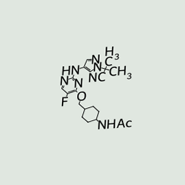 CC(=O)NC1CCC(COc2nc(Nc3cnn(C(C)(C)C#N)c3)ncc2F)CC1